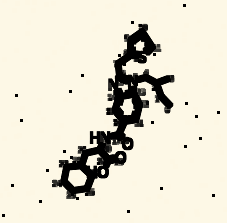 CCC(C)Cn1c(Cc2cccs2)nc2cc(C(=O)NC(CC3CCCCC3)C(=O)O)ccc21